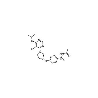 CC(=O)N[C@@H](C)c1ccc(O[C@@H]2CCN(c3ncnc(OC(C)C)c3Cl)C2)cc1